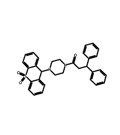 O=C(CC(c1ccccc1)c1ccccc1)N1CCN(C2c3ccccc3S(=O)(=O)c3ccccc32)CC1